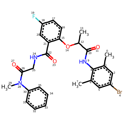 Cc1cc(Br)cc(C)c1NC(=O)C(C)Oc1ccc(F)cc1C(=O)NCC(=O)N(C)c1ccccc1